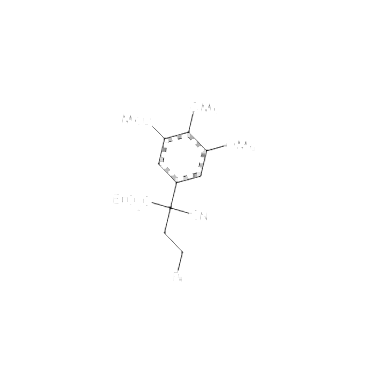 CCOC(=O)C(C#N)(CCBr)c1cc(OC)c(OC)c(OC)c1